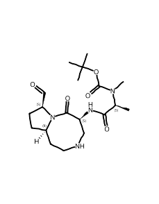 C[C@@H](C(=O)N[C@H]1CNCC[C@H]2CC[C@@H](C=O)N2C1=O)N(C)C(=O)OC(C)(C)C